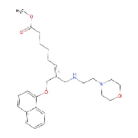 COC(=O)CCCC/C=C(/CNCCN1CCOCC1)COc1cccc2ccccc12